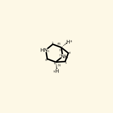 [CH]1NC[C@H]2CC[C@@H]1N2